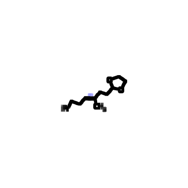 C/C(=C\CCC(C)C)CCC1OCCO1